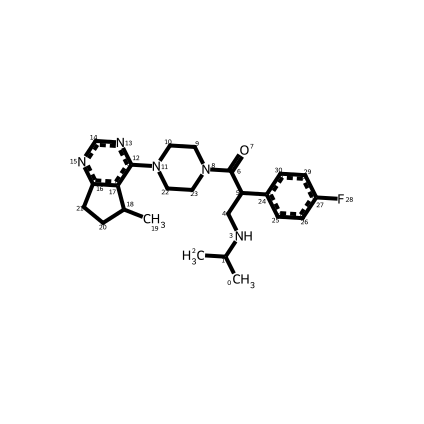 CC(C)NCC(C(=O)N1CCN(c2ncnc3c2C(C)CC3)CC1)c1ccc(F)cc1